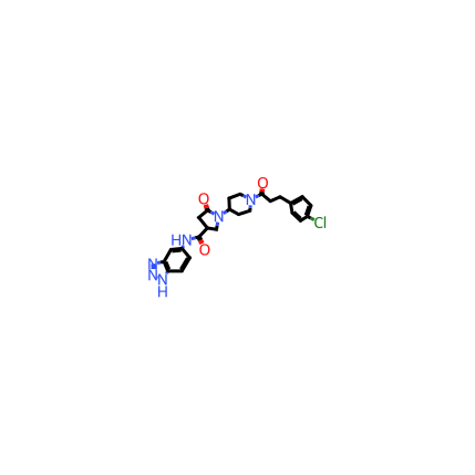 O=C(Nc1ccc2[nH]nnc2c1)C1CC(=O)N(C2CCN(C(=O)CCc3ccc(Cl)cc3)CC2)C1